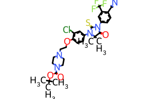 CC(C)(C)OC(=O)N1CCN(CCOc2ccc(N3C(=S)N(c4ccc(C#N)c(C(F)(F)F)c4)C(=O)C3(C)C)cc2Cl)CC1